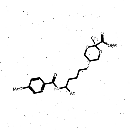 COc1ccc(C(=O)NC(CCCC[C@H]2CO[C@@](C)(C(=O)OC)OC2)C(C)=O)cc1